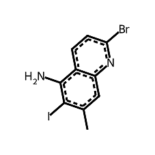 Cc1cc2nc(Br)ccc2c(N)c1I